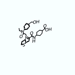 CCN(C(=O)Cn1c(C(=O)NC2CCC(C(=O)O)CC2)cc2sccc21)c1ccc(CO)cc1